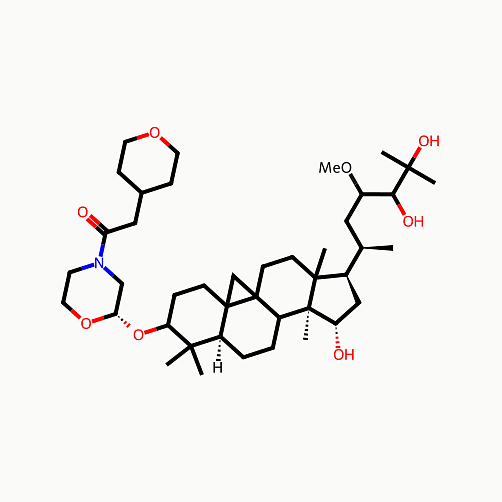 COC(C[C@@H](C)[C@H]1C[C@H](O)[C@@]2(C)C3CC[C@H]4C(C)(C)C(O[C@H]5CN(C(=O)CC6CCOCC6)CCO5)CCC45CC35CCC12C)C(O)C(C)(C)O